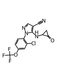 N#Cc1cnn(-c2ccc(OC(F)(F)F)cc2Cl)c1NC1CC1=O